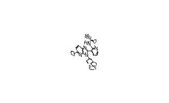 CC(C)(C)C(=O)Nc1ncccc1-c1nc2ccc(Cl)nc2n1-c1ccc2c(c1)CCC21SCCS1